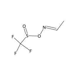 CC=NOS(=O)C(F)(F)F